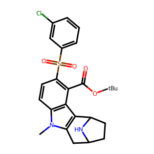 Cn1c2c(c3c(C(=O)OC(C)(C)C)c(S(=O)(=O)c4cccc(Cl)c4)ccc31)C1CCC(C2)N1